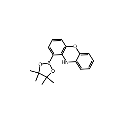 CC1(C)OB(c2cccc3c2Nc2ccccc2O3)OC1(C)C